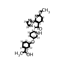 COc1ccc(C(=O)C[C@H]2CC[C@@H](Oc3cccc(C(C)O)c3)CN2)c(-n2nccn2)n1